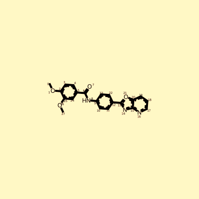 COc1ccc(C(=O)Nc2ccc(-c3nc4ncccc4o3)cc2)cc1OC